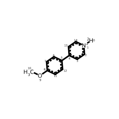 [2H][n+]1ccc(-c2ccc(OC)cc2)cc1